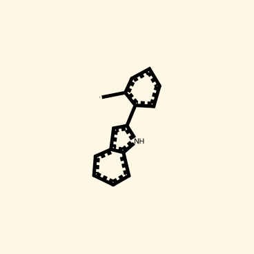 [CH2]c1ccccc1-c1cc2ccccc2[nH]1